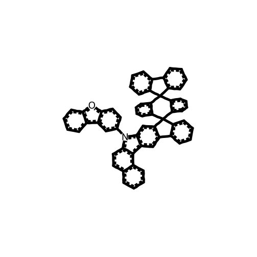 c1ccc2c(c1)-c1ccccc1C21c2ccccc2C2(c3ccccc3-c3cc4c5c6ccccc6ccc5n(-c5ccc6oc7ccccc7c6c5)c4cc32)c2ccccc21